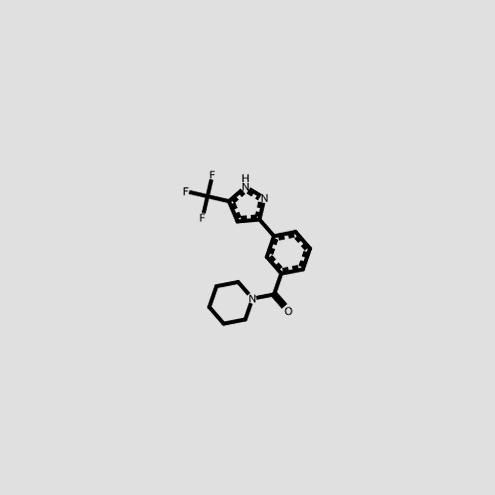 O=C(c1cccc(-c2cc(C(F)(F)F)[nH]n2)c1)N1CCCCC1